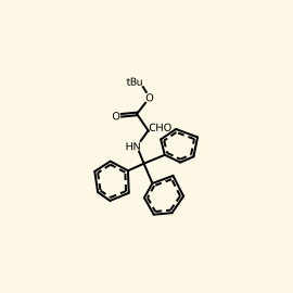 CC(C)(C)OC(=O)[C@H](C=O)NC(c1ccccc1)(c1ccccc1)c1ccccc1